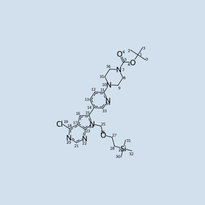 CC(C)(C)OC(=O)N1CCN(c2ccc(-c3cc4c(Cl)ncnc4n3COCC[Si](C)(C)C)cn2)CC1